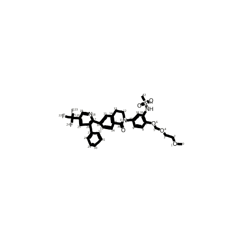 COCCOCOc1ccc(N2CCc3cc(-c4ncc(C(F)(F)F)cc4-c4ccccc4)ccc3C2=O)cc1NS(C)(=O)=O